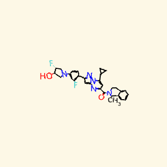 C[C@@H]1c2ccccc2CCN1C(=O)c1cc(C2CC2)n2nc(-c3ccc(N4C[C@@H](O)[C@H](F)C4)cc3F)cc2n1